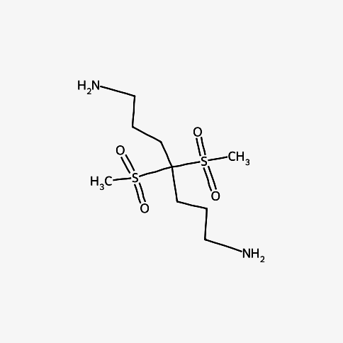 CS(=O)(=O)C(CCCN)(CCCN)S(C)(=O)=O